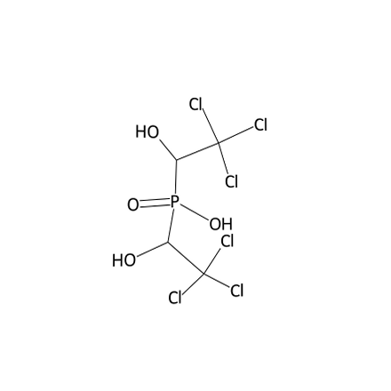 O=P(O)(C(O)C(Cl)(Cl)Cl)C(O)C(Cl)(Cl)Cl